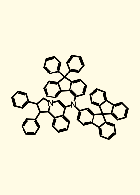 C1=C(N(c2ccc3c(c2)C2(c4ccccc4-c4ccccc42)c2ccccc2-3)c2cccc3c2-c2ccccc2C3(c2ccccc2)c2ccccc2)c2ccccc2C2C(c3ccccc3)C(c3ccccc3)CN12